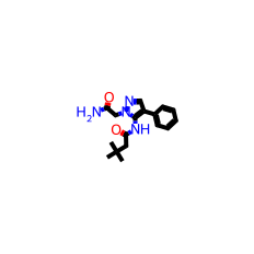 CC(C)(C)CC(=O)Nc1c(-c2ccccc2)cnn1CC(N)=O